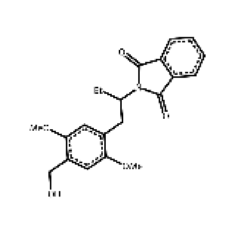 CCC(Cc1cc(OC)c(CO)cc1OC)N1C(=O)c2ccccc2C1=O